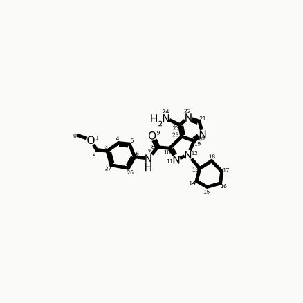 COCc1ccc(NC(=O)c2nn(C3CCCCC3)c3ncnc(N)c23)cc1